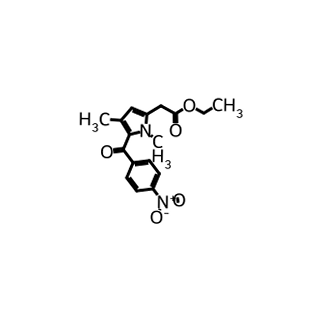 CCOC(=O)Cc1cc(C)c(C(=O)c2ccc([N+](=O)[O-])cc2)n1C